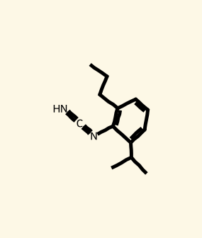 CCCc1cccc(C(C)C)c1N=C=N